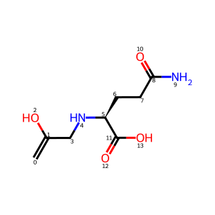 C=C(O)CN[C@@H](CCC(N)=O)C(=O)O